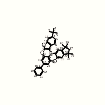 CC(C)(C)c1ccc2c3c(oc2c1)Oc1cc(-c2ccccc2)cc2c1B3c1cc3c(cc1O2)C(C)(C)CC3(C)C